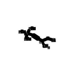 CCC[CH2][Sn]([C]#C[C@H](C)OCC)([CH2]CCC)[CH2]CCC